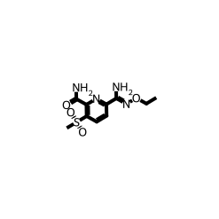 CCO/N=C(\N)c1ccc(S(C)(=O)=O)c(C(N)=O)n1